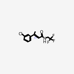 C/C(=C\C(=O)NCC(F)(F)F)c1cccc(Cl)c1